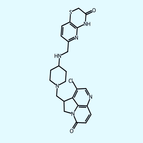 O=C1CSc2ccc(CNC3CCN(CC4Cn5c(=O)ccc6ncc(Cl)c4c65)CC3)nc2N1